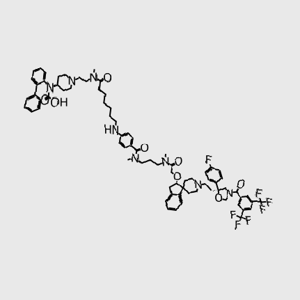 CN(CCN1CCC(N(C(=O)O)c2ccccc2-c2ccccc2)CC1)C(=O)CCCCCCNc1ccc(C(=O)N(C)CCCN(C)C(=O)CO[C@H]2Cc3ccccc3C23CCN(CC[C@]2(c4ccc(F)cc4)CN(C(=O)c4cc(C(F)(F)F)cc(C(F)(F)F)c4)CO2)CC3)cc1